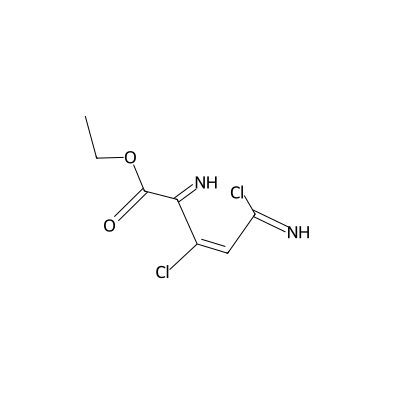 CCOC(=O)C(=N)/C(Cl)=C\C(=N)Cl